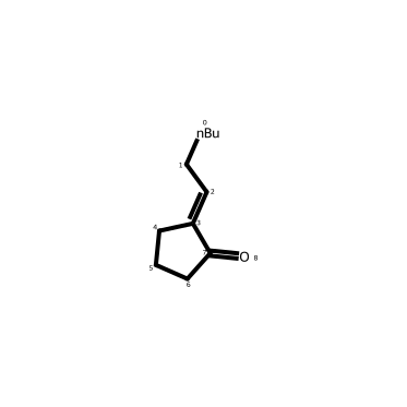 CCCCC/C=C1\CCCC1=O